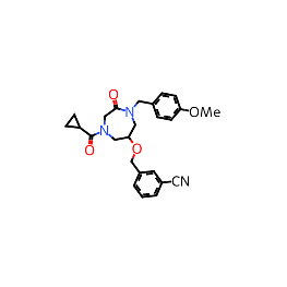 COc1ccc(CN2CC(OCc3cccc(C#N)c3)CN(C(=O)C3CC3)CC2=O)cc1